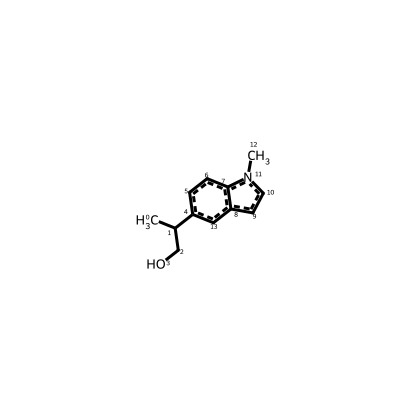 CC(CO)c1ccc2c(ccn2C)c1